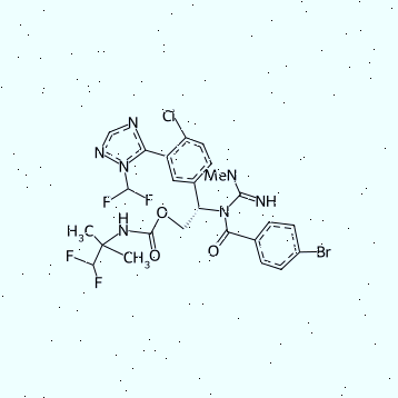 CNC(=N)N(C(=O)c1ccc(Br)cc1)[C@H](COC(=O)NC(C)(C)C(F)F)c1ccc(Cl)c(-c2ncnn2C(F)F)c1